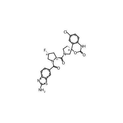 Nc1nc2ccc(C(=O)N3C[C@H](F)C[C@H]3C(=O)N3CC[C@@]4(C3)OC(=O)Nc3ccc(Cl)cc34)cc2s1